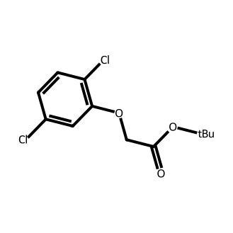 CC(C)(C)OC(=O)COc1cc(Cl)ccc1Cl